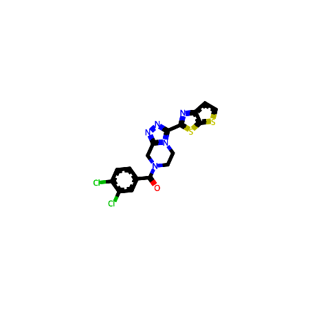 O=C(c1ccc(Cl)c(Cl)c1)N1CCn2c(nnc2-c2nc3ccsc3s2)C1